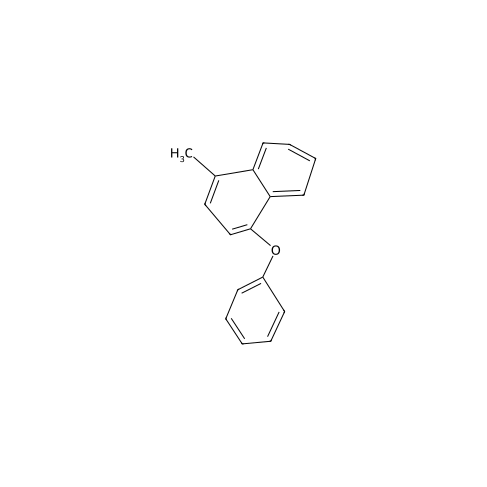 Cc1ccc(Oc2ccccc2)c2ccccc12